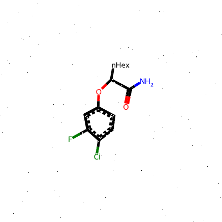 CCCCCCC(Oc1ccc(Cl)c(F)c1)C(N)=O